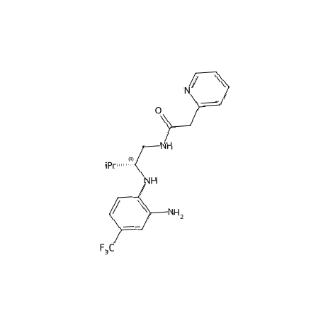 CC(C)[C@H](CNC(=O)Cc1ccccn1)Nc1ccc(C(F)(F)F)cc1N